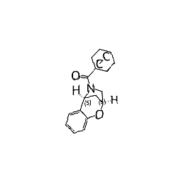 O=C(N1C[C@@H]2C[C@H]1c1ccccc1O2)C12CCC(CC1)CC2